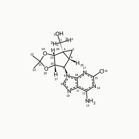 [2H]C([2H])(O)[C@]12C[C@@H]1[C@@H](n1cnc3c(N)nc(Cl)nc31)[C@@H]1OC(C)(C)O[C@@H]12